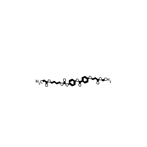 C=COC(=O)CCOc1ccc(C(=O)Oc2ccc(OC(=O)OCCCCOC(=O)C=C)cc2)cc1